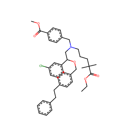 CCOC(=O)C(C)(C)CCCN(Cc1ccc(C(=O)OC)cc1)CC(OCc1ccc(CCc2ccccc2)cc1)c1cccc(Cl)c1